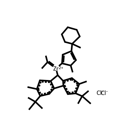 C[C](C)=[Zr+2]([C]1=CC(C2(C)CCCCC2)=CC1C)[CH]1c2cc(C)c(C(C)(C)C)cc2-c2cc(C(C)(C)C)c(C)cc21.[Cl-].[Cl-]